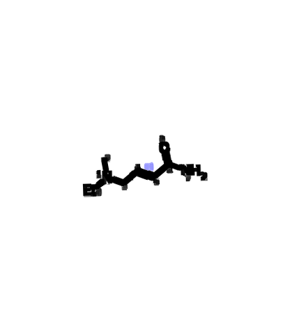 CCN(C)C/C=C/C(N)=O